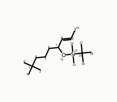 CC(C)(C)CCCC(C=CI)O[Si](C)(C)C(C)(C)C